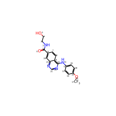 O=C(NCCO)c1ccc2c(Nc3ccc(OC(F)(F)F)cc3)ncnc2c1